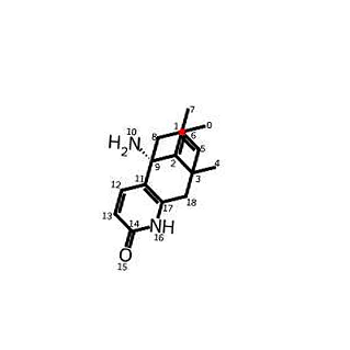 C/C=C1\C2(C)C=C(C)C[C@]1(N)c1ccc(=O)[nH]c1C2